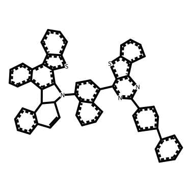 C1=CC2C(c3ccccc31)c1c(c3sc4ccccc4c3c3ccccc13)N2c1ccc(-c2nc(-c3ccc(-c4ccccc4)cc3)nc3c2sc2ccccc23)c2ccccc12